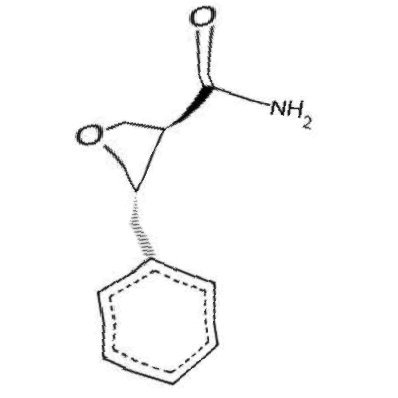 NC(=O)[C@@H]1O[C@H]1c1ccccc1